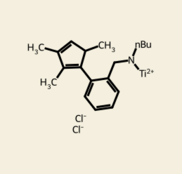 CCCC[N]([Ti+2])Cc1ccccc1C1=C(C)C(C)=CC1C.[Cl-].[Cl-]